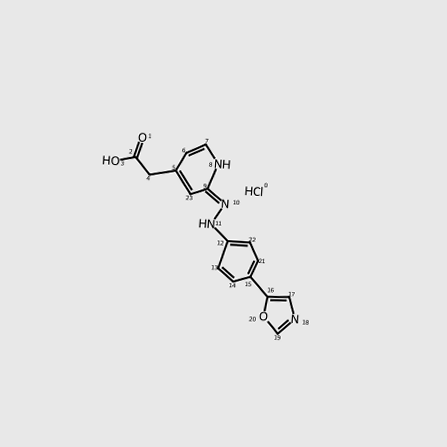 Cl.O=C(O)Cc1cc[nH]c(=NNc2ccc(-c3cnco3)cc2)c1